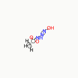 O=C1CC([C@]23C[C@H]4C[C@H](C[C@H](C4)C2)C3)CC(=O)C1=CNCCN1CCN(CCO)CC1